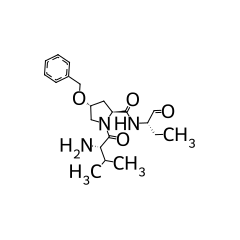 CC[C@@H](C=O)NC(=O)[C@@H]1C[C@@H](OCc2ccccc2)CN1C(=O)[C@@H](N)C(C)C